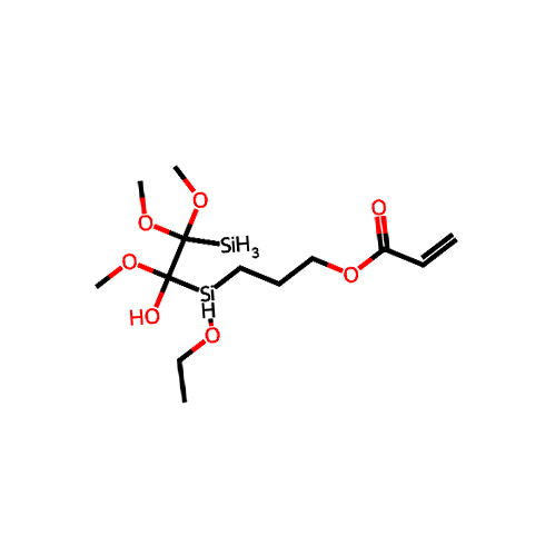 C=CC(=O)OCCC[SiH](OCC)C(O)(OC)C([SiH3])(OC)OC